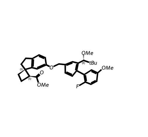 COC(=O)[C@H]1CC[C@]12CCc1ccc(OCc3ccc(-c4cc(OC)ccc4F)c([C@H](OC)C(C)(C)C)c3)cc12